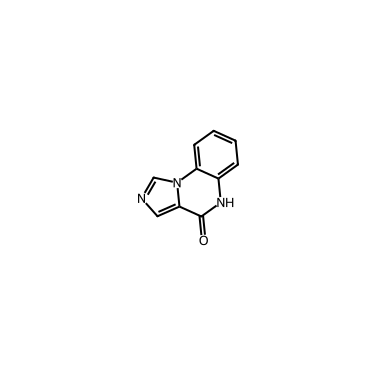 O=c1[nH]c2ccccc2n2cncc12